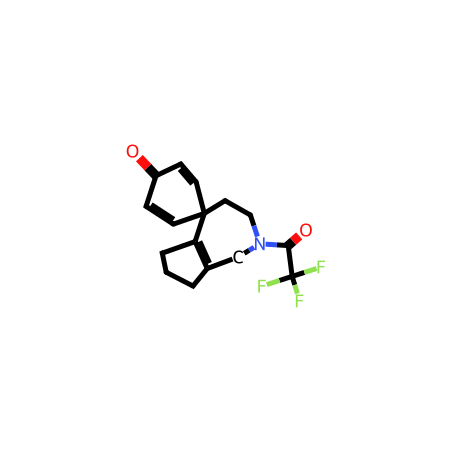 O=C1C=CC2(C=C1)CCN(C(=O)C(F)(F)F)CC1=C2CCC1